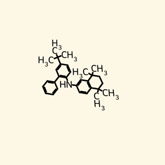 CC(C)(C)c1ccc(Nc2ccc3c(c2)C(C)(C)CCC3(C)C)c(-c2ccccc2)c1